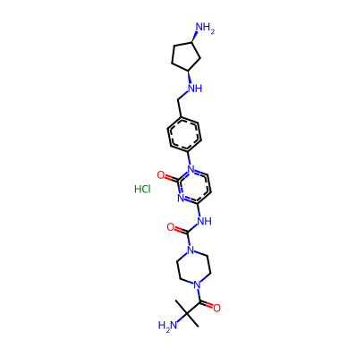 CC(C)(N)C(=O)N1CCN(C(=O)Nc2ccn(-c3ccc(CN[C@H]4CC[C@@H](N)C4)cc3)c(=O)n2)CC1.Cl